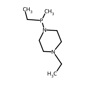 CCN1CCN(P(C)CC)CC1